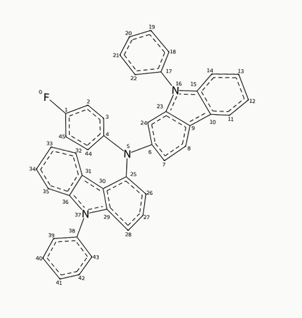 Fc1ccc(N(c2ccc3c4ccccc4n(-c4ccccc4)c3c2)c2cccc3c2c2ccccc2n3-c2ccccc2)cc1